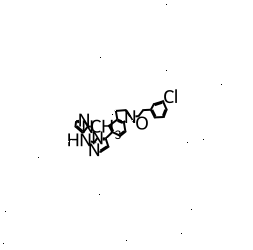 Cn1nccc1Nc1nccc(-c2ccc3c(c2)CCN3C(=O)Cc2cccc(Cl)c2)n1